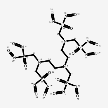 O=NP(=O)(CN(CCN(CP(=O)(N=O)N=O)CP(=O)(N=O)N=O)CCN(CP(=O)(N=O)N=O)CP(=O)(N=O)N=O)N=O